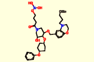 COCCCN1CCOc2ccc(COC3CN(C(=O)CCCON(O)O)CC(O)C3OC3CCC(Oc4ccccc4)CC3)cc21